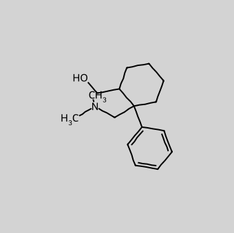 CN(C)CC1(c2ccccc2)CCCCC1CO